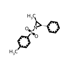 Cc1ccc(S(=O)(=O)N2[C@@H](C)[C@@H]2c2ccccc2)cc1